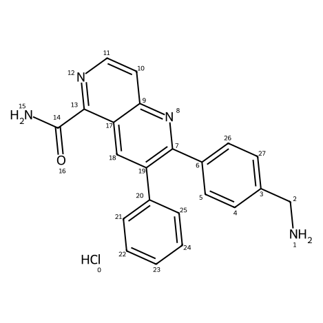 Cl.NCc1ccc(-c2nc3ccnc(C(N)=O)c3cc2-c2ccccc2)cc1